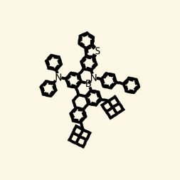 c1ccc(-c2ccc(N3B4c5cc(C67CC8CC9CC(C6)C987)cc6c5C(Cc5ccc(C78CC9CC%10CC(C7)C%1098)cc5-6)c5cc(N(c6ccccc6)c6ccccc6)cc(c54)-c4cc5c(cc43)sc3ccccc35)cc2)cc1